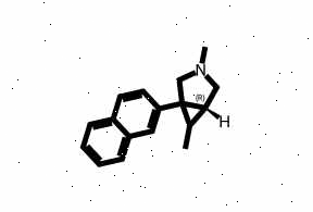 CC1[C@H]2CN(C)CC12c1ccc2ccccc2c1